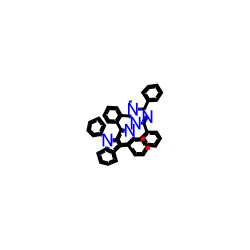 CN1C(c2ccccc2-c2nc3ccccc3c3c4ccccc4n(-c4ccccc4)c23)=NC(c2ccccc2)=NC1c1ccccc1